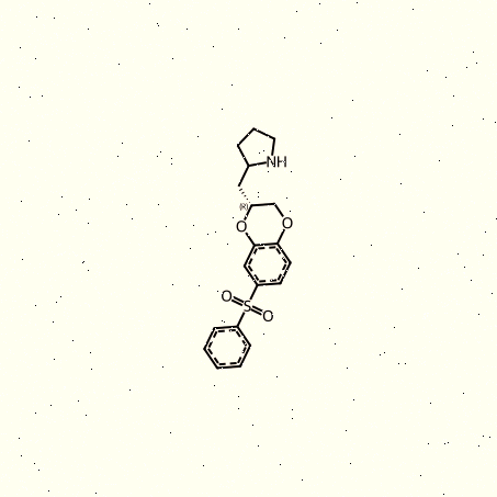 O=S(=O)(c1ccccc1)c1ccc2c(c1)O[C@H](CC1CCCN1)CO2